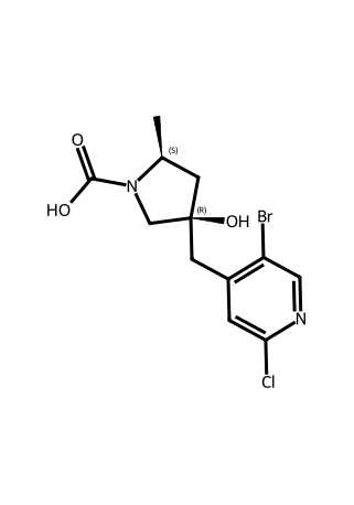 C[C@H]1C[C@](O)(Cc2cc(Cl)ncc2Br)CN1C(=O)O